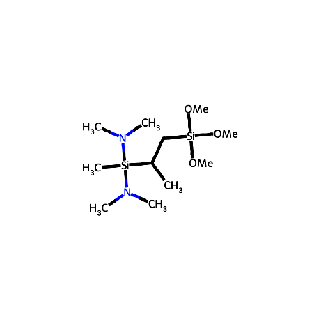 CO[Si](CC(C)[Si](C)(N(C)C)N(C)C)(OC)OC